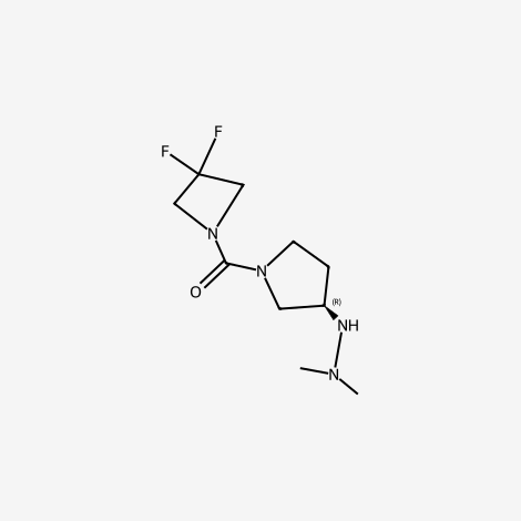 CN(C)N[C@@H]1CCN(C(=O)N2CC(F)(F)C2)C1